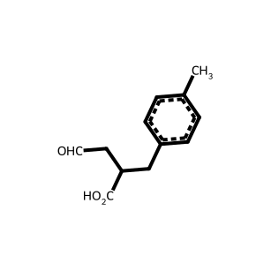 Cc1ccc(CC(CC=O)C(=O)O)cc1